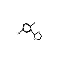 Nc1ccc(F)c(C2OCCO2)c1